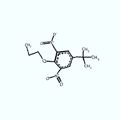 CCCOc1c([N+](=O)[O-])cc(C(C)(C)C)cc1[N+](=O)[O-]